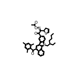 CCCCC(CC)Cn1c2ccc(C(=O)/C(=N\OC(C)=O)C3CC=CS3)cc2c2cc(C(=O)c3c(C)cc(C)cc3C)c3ccccc3c21